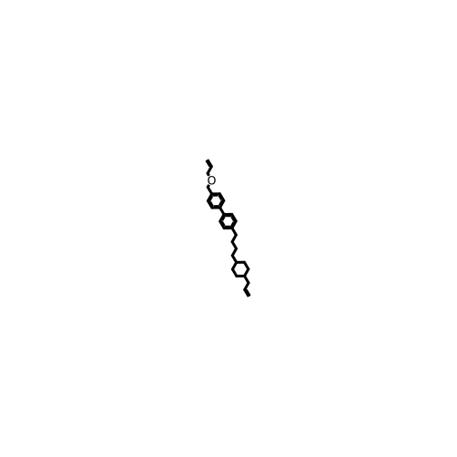 C=CCOCc1ccc(-c2ccc(CCCCC3CCC(CC=C)CC3)cc2)cc1